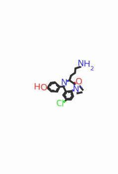 CC[N+]1(CC)C(=O)C(CCCCN)N=C(c2ccc(O)cc2)c2cc(Cl)ccc21